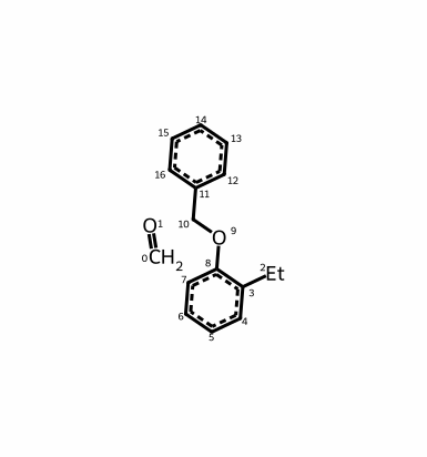 C=O.CCc1ccccc1OCc1ccccc1